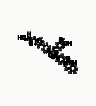 O=C(CN1CCC(C2CCN(C(=O)[C@@H](Cc3ccc(O)c(Br)c3)OC(=O)N3CCC(N4CCc5ccccc5NC4=O)CC3)CC2)CC1)NCO